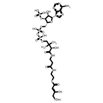 CCCCCCCCCCCC(O)=CC(=O)SCCNC(=O)CCNC(=O)[C@H](O)C(C)(C)COP(=O)(O)OP(=O)(O)OC[C@H]1O[C@@H](n2cnc3c(N)ncnc32)[C@H](O)[C@@H]1OP(=O)(O)O